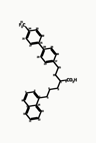 O=C(O)C(CCCc1cccc2ccccc12)CCc1ccc(-c2ccc(C(F)(F)F)cc2)cc1